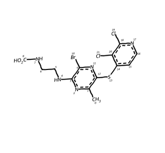 Cc1nc(NCCNC(=O)O)c(Br)nc1Sc1ccnc(Cl)c1Cl